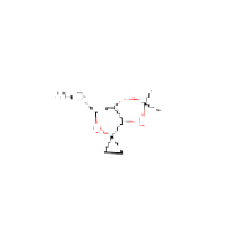 COC1OC2(CC2)C2OC(C)(C)OC12